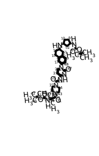 CC(C)(C)OC(=O)N[C@H]1CC[C@H](NC2CCc3cc(-n4ccc(NC(=O)N5CCN(C(=O)C(C)(C)NC(=O)OC(C)(C)C)CC5)nc4=O)ccc3C2)C1